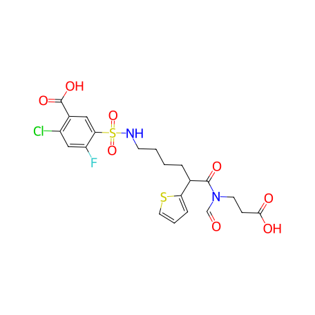 O=CN(CCC(=O)O)C(=O)C(CCCCNS(=O)(=O)c1cc(C(=O)O)c(Cl)cc1F)c1cccs1